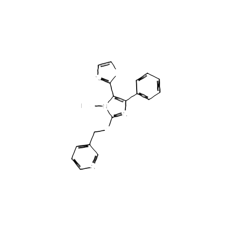 Cn1c(SCc2cccnc2)nc(-c2ccccc2)c1-c1nccs1